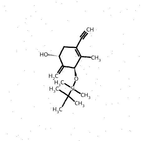 C#CC1=C(C)[C@@H](O[Si](C)(C)C(C)(C)C)C(=C)[C@H](O)C1